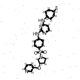 O=S(=O)(c1ccc(Nc2nccc(Nc3ccc(F)cc3)n2)cc1)N1CC[C@@H](Oc2cccnc2)C1